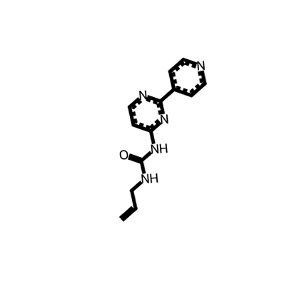 C=CCNC(=O)Nc1ccnc(-c2ccncc2)n1